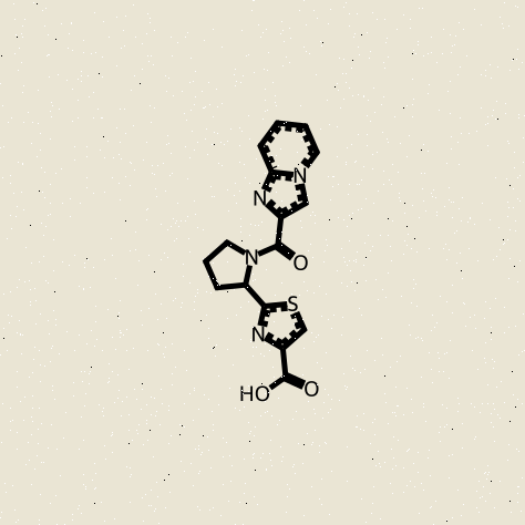 O=C(O)c1csc(C2CCCN2C(=O)c2cn3ccccc3n2)n1